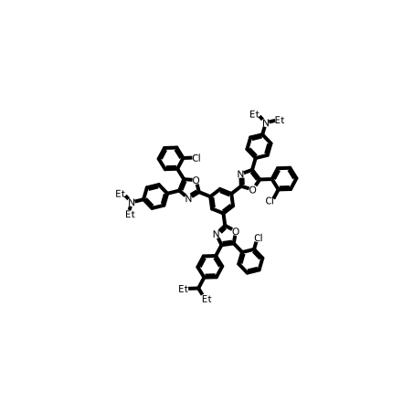 CCC(CC)c1ccc(-c2nc(-c3cc(-c4nc(-c5ccc(N(CC)CC)cc5)c(-c5ccccc5Cl)o4)cc(-c4nc(-c5ccc(N(CC)CC)cc5)c(-c5ccccc5Cl)o4)c3)oc2-c2ccccc2Cl)cc1